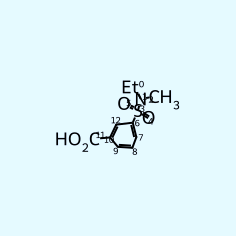 CCN(C)S(=O)(=O)c1cccc(C(=O)O)c1